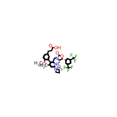 COc1ccc(CCC(=O)O)cc1-c1c(C)cc(N2CCC2)nc1CN1C(=O)O[C@H](c2cc(C(F)(F)F)cc(C(F)(F)F)c2)[C@@H]1C